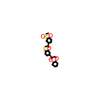 [O-][S+]1CCOc2ccc(C3CSc4ccc(C5COc6ccccc6O5)cc4O3)cc21